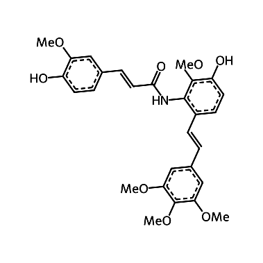 COc1cc(/C=C/C(=O)Nc2c(/C=C/c3cc(OC)c(OC)c(OC)c3)ccc(O)c2OC)ccc1O